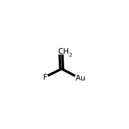 C=[C](F)[Au]